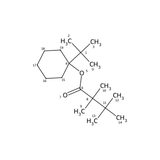 CC(C)(C)C1(OC(=O)C(C)(C)C(C)(C)C)CCCCC1